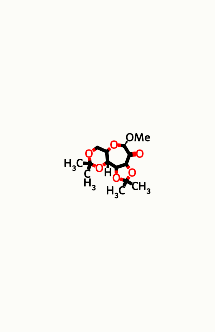 CO[C@H]1OC2COC(C)(C)O[C@H]2C2OC(C)(C)OC2C1=O